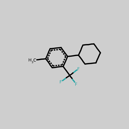 Cc1ccc(C2CCCCC2)c(C(F)(F)F)c1